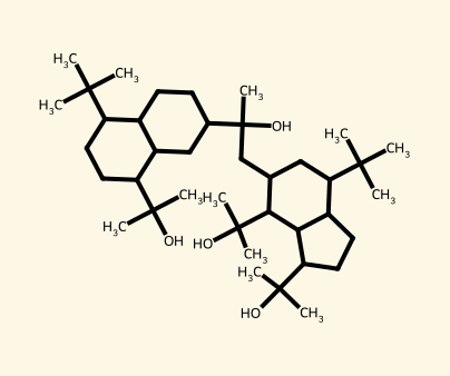 CC(C)(C)C1CCC(C(C)(C)O)C2CC(C(C)(O)CC3CC(C(C)(C)C)C4CCC(C(C)(C)O)C4C3C(C)(C)O)CCC21